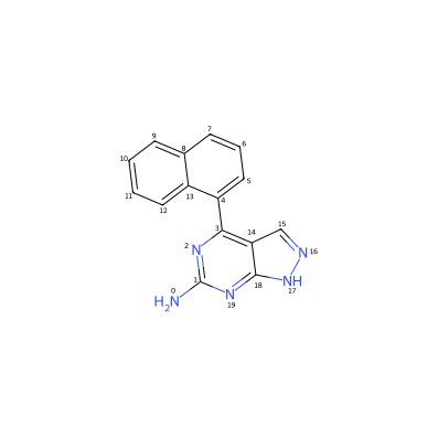 Nc1nc(-c2cccc3ccccc23)c2cn[nH]c2n1